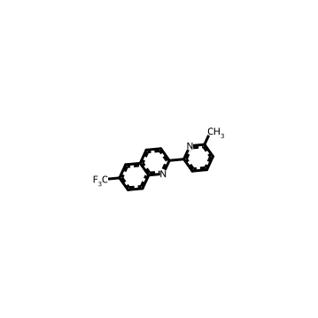 Cc1cccc(-c2ccc3cc(C(F)(F)F)ccc3n2)n1